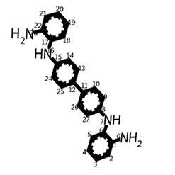 Nc1ccccc1Nc1ccc(-c2ccc(Nc3ccccc3N)cc2)cc1